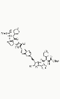 COC(=O)N[C@H](C(=O)N1C[C@H](C)C[C@H]1c1nc(Cl)c(C#Cc2ccc3cc(-c4[nH]c([C@@H]5CC6C[C@H]6N5C(=O)[C@@H](NC(=O)OC)C5CCOCC5)nc4Cl)ccc3c2)[nH]1)C1CCOCC1